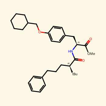 COC(=O)[C@H](Cc1ccc(OCC2CCCCC2)cc1)NC(=O)[C@H](CCCc1ccccc1)C(C)(C)C